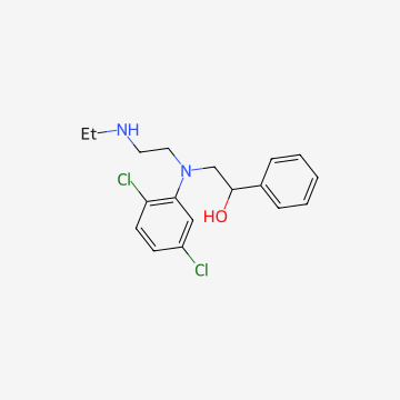 CCNCCN(CC(O)c1ccccc1)c1cc(Cl)ccc1Cl